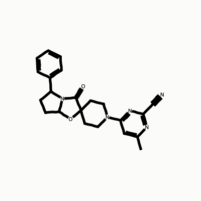 Cc1cc(N2CCC3(CC2)OC2CCC(c4ccccc4)N2C3=O)nc(C#N)n1